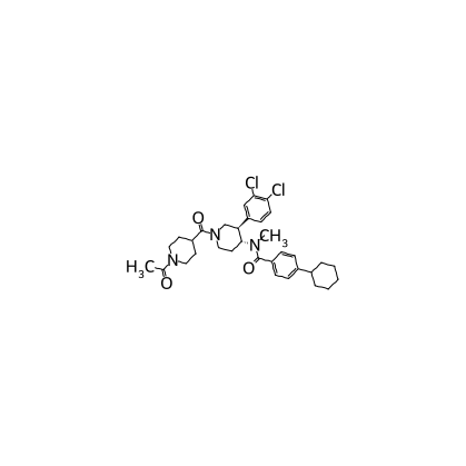 CC(=O)N1CCC(C(=O)N2CC[C@@H](N(C)C(=O)c3ccc(C4CCCCC4)cc3)[C@H](c3ccc(Cl)c(Cl)c3)C2)CC1